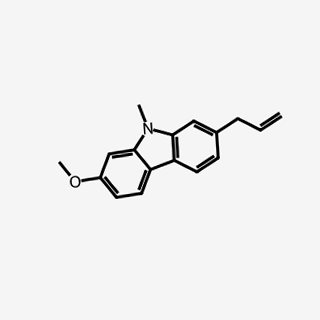 C=CCc1ccc2c3ccc(OC)cc3n(C)c2c1